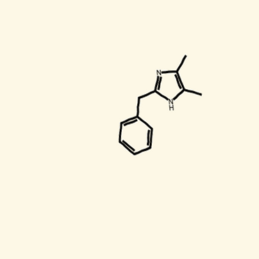 Cc1nc(Cc2ccccc2)[nH]c1C